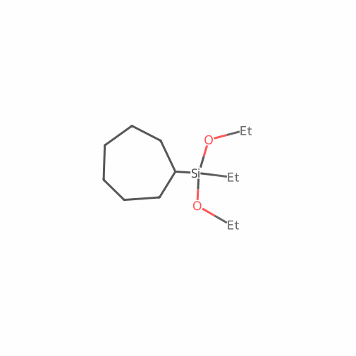 CCO[Si](CC)(OCC)C1CCCCCC1